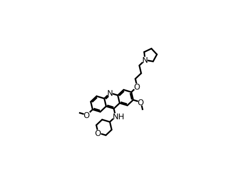 COc1ccc2nc3cc(OCCCN4CCCC4)c(OC)cc3c(NC3CCOCC3)c2c1